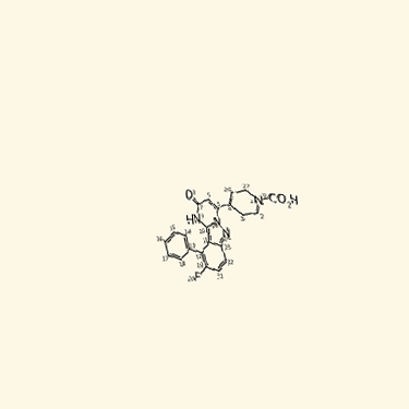 O=C(O)N1CCC(c2cc(=O)[nH]c3c4c(-c5ccccc5)c(F)ccc4nn23)CC1